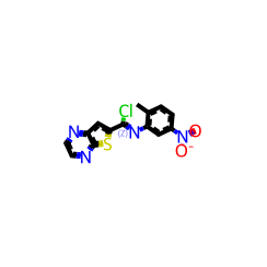 Cc1ccc([N+](=O)[O-])cc1/N=C(\Cl)c1cc2nccnc2s1